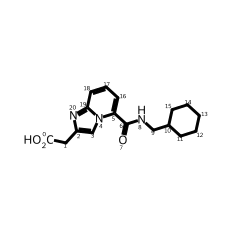 O=C(O)Cc1cn2c(C(=O)NCC3CCCCC3)cccc2n1